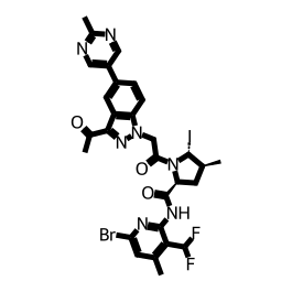 CC(=O)c1nn(CC(=O)N2[C@H](I)[C@@H](C)C[C@H]2C(=O)Nc2nc(Br)cc(C)c2C(F)F)c2ccc(-c3cnc(C)nc3)cc12